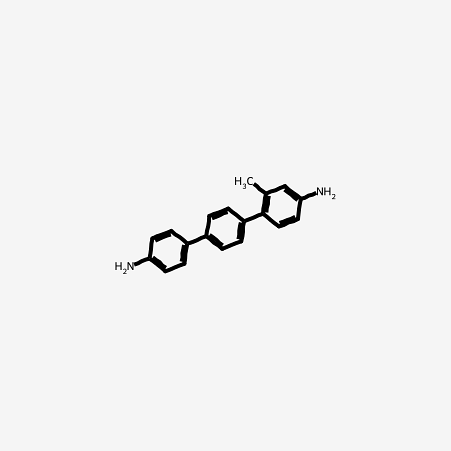 Cc1cc(N)ccc1-c1ccc(-c2ccc(N)cc2)cc1